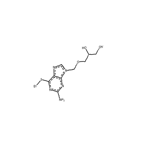 CCSc1nc(N)nc2c1ncn2COCC(O)CO